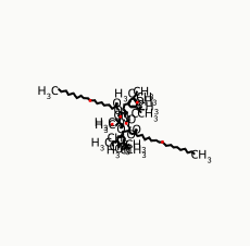 CCCCCCCCCCCCCCCCCC(=O)OC(Cc1cc(C(C)(C)C)c(O)c(C(C)(C)C)c1)CN1C(=O)N(CC(Cc2cc(C(C)(C)C)c(O)c(C(C)(C)C)c2)OC(=O)CCCCCCCCCCCCCCCCC)C(=O)C(CC)(CC)C1=O